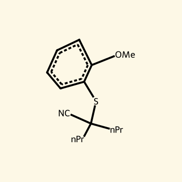 CCCC(C#N)(CCC)Sc1ccccc1OC